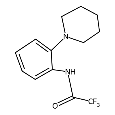 O=C(Nc1ccccc1N1CCCCC1)C(F)(F)F